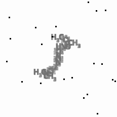 Cc1ccc(C)c(C(=O)NCc2cccc(N3CCN(C/C=C/c4ccc(N(C)C)cc4)CC3)c2)c1